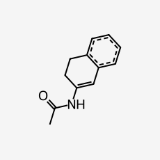 CC(=O)NC1=Cc2ccccc2CC1